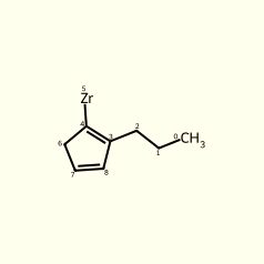 CCCC1=[C]([Zr])CC=C1